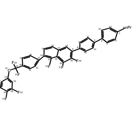 CCCc1ccc(-c2ccc(-c3cc4ccc(-c5ccc(C(F)(F)Oc6ccc(F)c(F)c6)cc5)c(F)c4c(F)c3F)cc2)cc1